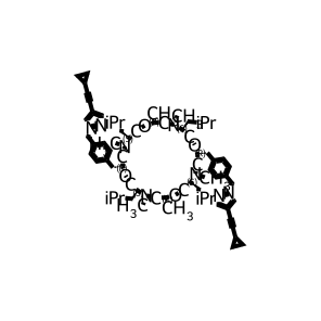 CC(C)C[C@H]1CO[C@H](C)CN(C)[C@@H](CC(C)C)CO[C@H](Cc2ccc(Cn3cc(C#CC4CC4)cn3)cc2)CN(C)[C@@H](CC(C)C)CO[C@H](C)CN(C)[C@@H](CC(C)C)CO[C@H](Cc2ccc(Cn3cc(C#CC4CC4)cn3)cc2)CN1C